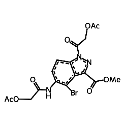 COC(=O)c1nn(C(=O)COC(C)=O)c2ccc(NC(=O)COC(C)=O)c(Br)c12